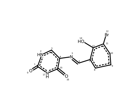 O=c1[nH]cc(/N=C/c2cccc(Br)c2O)c(=O)[nH]1